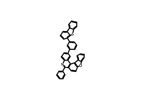 c1ccc(-c2nc3ccc(-c4cccc(-c5cccc6c5sc5ccccc56)c4)cc3c3c2ccc2oc4ccccc4c23)cc1